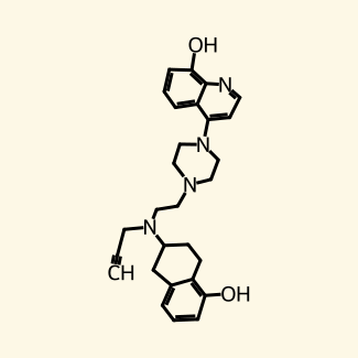 C#CCN(CCN1CCN(c2ccnc3c(O)cccc23)CC1)C1CCc2c(O)cccc2C1